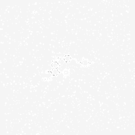 CN1CCN(CCc2ccc(Nc3ncc4c(=O)c(C(=O)O)cn(C5CCCC5)c4n3)cc2)CC1